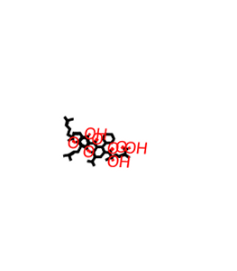 CC(C)=CCCC1(C)C=Cc2c(O)c3c(c(CC=C(C)C)c2O1)OC1C(C(C)C)CC(C(=O)C(C)(O)C/C=C(/C)C(=O)O)C(C2CCCCC2)C1C3=O